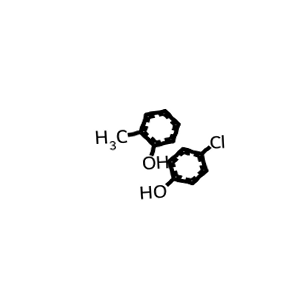 Cc1ccccc1O.Oc1ccc(Cl)cc1